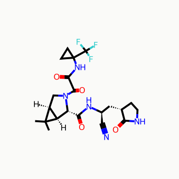 CC1(C)[C@@H]2[C@@H](C(=O)N[C@H](C#N)C[C@@H]3CCNC3=O)N(C(=O)C(=O)NC3(C(F)(F)F)CC3)C[C@@H]21